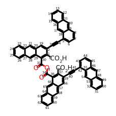 O=C(O)c1c(C#Cc2cccc3cc4ccccc4cc23)cc2cc3ccccc3cc2c1C(=O)OC(=O)c1c(C(=O)O)c(C#Cc2cccc3cc4ccccc4cc23)cc2cc3ccccc3cc12